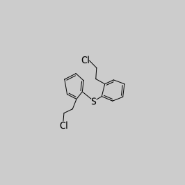 ClCCc1ccccc1Sc1ccccc1CCCl